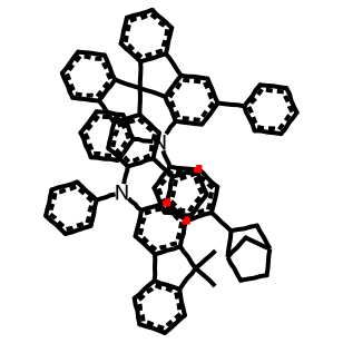 CC1(C)c2ccccc2-c2cc(N(c3ccccc3)c3cc4c(cc3-c3ccc(C5CC6CCC5C6)cc3)C3(c5ccccc5-4)c4ccccc4-c4cc(-c5ccccc5)cc(N(c5ccccc5)c5ccccc5)c43)ccc21